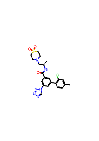 Cc1ccc(-c2cc(C(=O)N[C@H](C)CN3CCS(=O)(=O)CC3)cc(-n3cnnn3)c2)c(Cl)c1